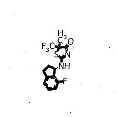 CC1(C(F)(F)F)SC(N[C@H]2CCc3cccc(F)c32)=NC1=O